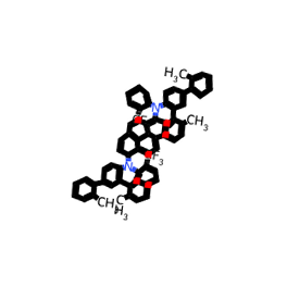 Cc1ccccc1-c1ccc(N(C2=C3C=CC4=C5C(=CC=C(C=C2)C35)C(N(c2ccc(-c3ccccc3C)cc2-c2ccccc2C)c2ccccc2C(F)(F)F)C=C4)c2ccccc2C(F)(F)F)c(-c2ccccc2C)c1